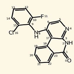 O=c1[nH]c2nccc(Nc3c(F)cccc3Cl)c2c2ccccc12